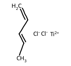 C=CC=CC.[Cl-].[Cl-].[Ti+2]